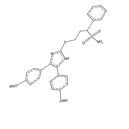 COc1ccc(-c2nc(SCCC(c3ccccc3)S(N)(=O)=O)[nH]c2-c2ccc(OC)cc2)cc1